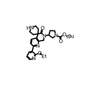 CCOc1ncccc1-c1ccc2c(n1)CN(C1CCN(C(=O)OC(C)(C)C)C1)C(=O)C21CCNCC1